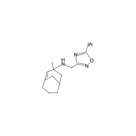 CC(C)c1nc(CNC2(C)C=C3CCCC(C3)C2)no1